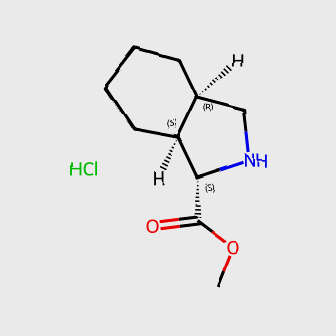 COC(=O)[C@H]1NC[C@@H]2CCCC[C@@H]21.Cl